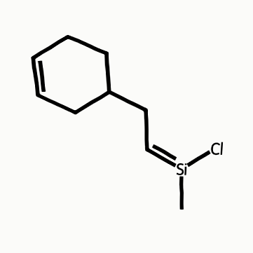 C[Si](Cl)=CCC1CC=CCC1